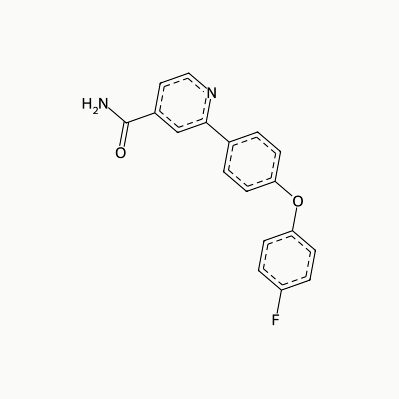 NC(=O)c1ccnc(-c2ccc(Oc3ccc(F)cc3)cc2)c1